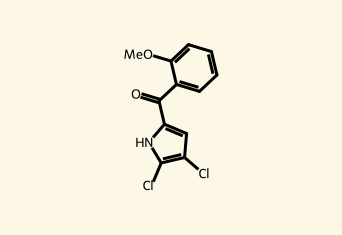 COc1ccccc1C(=O)c1cc(Cl)c(Cl)[nH]1